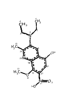 CCN(CC)c1cc2c(Cl)cc([N+](=O)[O-])c(OC)c2nc1C